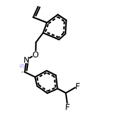 C=Cc1ccccc1CO/N=[C]\c1ccc(C(F)F)cc1